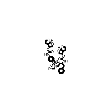 CC(C)CN(C[C@@H](O)C(Cc1ccccc1)NC(=O)O[C@H]1CO[C@H]2OCCC21)S(=O)(=O)c1ccc(NC(=O)O[C@@H]2CO[C@@H]3OCCC32)cc1